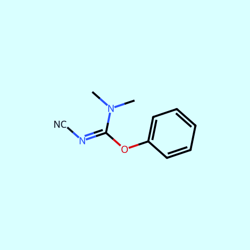 CN(C)C(=NC#N)Oc1ccccc1